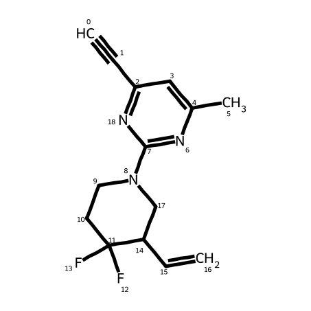 C#Cc1cc(C)nc(N2CCC(F)(F)C(C=C)C2)n1